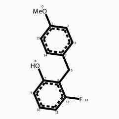 COc1ccc(Cc2c(O)cccc2F)cc1